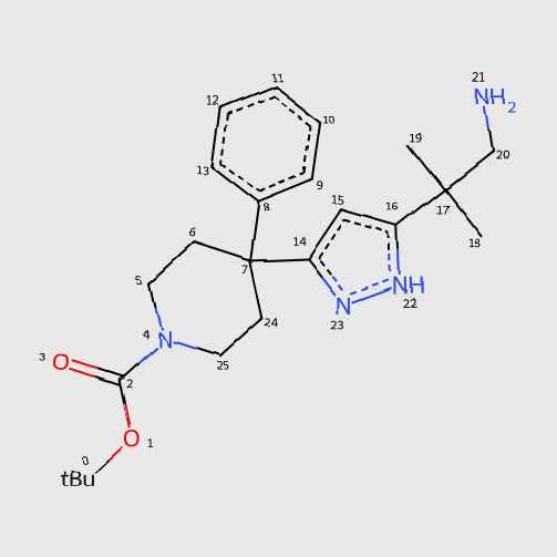 CC(C)(C)OC(=O)N1CCC(c2ccccc2)(c2cc(C(C)(C)CN)[nH]n2)CC1